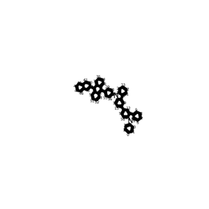 c1ccc(-n2c3ccccc3c3cc(-c4ccc5c(c4)c4ccccc4n5-c4ccc(-c5c6ccccc6c(-c6ccc7ccccc7c6)c6ccccc56)cc4)ccc32)cc1